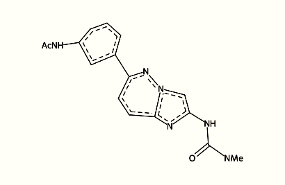 CNC(=O)Nc1cn2nc(-c3cccc(NC(C)=O)c3)ccc2n1